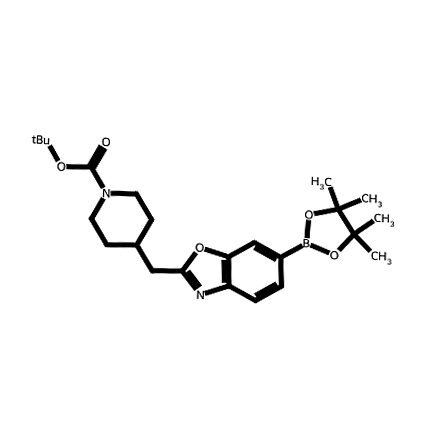 CC(C)(C)OC(=O)N1CCC(Cc2nc3ccc(B4OC(C)(C)C(C)(C)O4)cc3o2)CC1